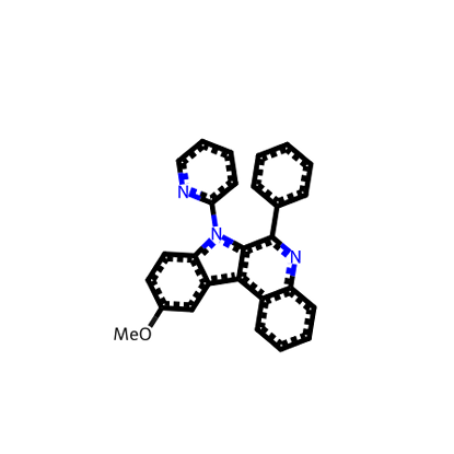 COc1ccc2c(c1)c1c3ccccc3nc(-c3ccccc3)c1n2-c1ccccn1